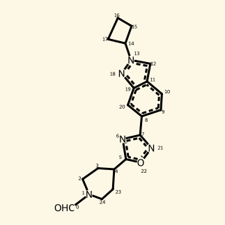 O=CN1CCC(c2nc(-c3ccc4cn(C5CCC5)nc4c3)no2)CC1